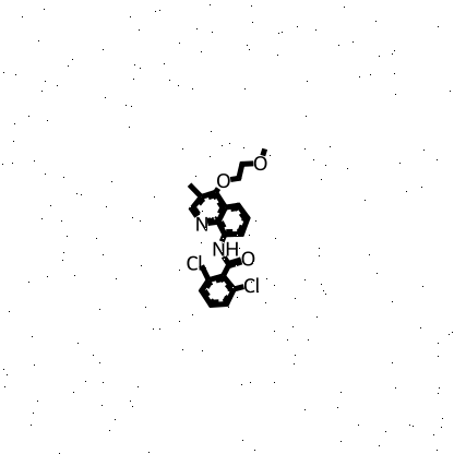 COCCOc1c(C)cnc2c(NC(=O)c3c(Cl)cccc3Cl)cccc12